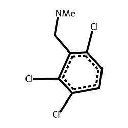 CNCc1c(Cl)ccc(Cl)c1Cl